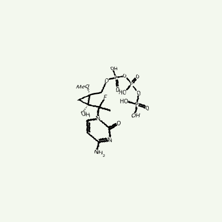 CO[C@@]1(COP(=O)(O)OP(=O)(O)OP(=O)(O)O)C[C@]1(O)C(C)(F)n1ccc(N)nc1=O